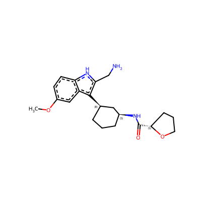 COc1ccc2[nH]c(CN)c([C@@H]3CCC[C@H](NC(=O)[C@@H]4CCCO4)C3)c2c1